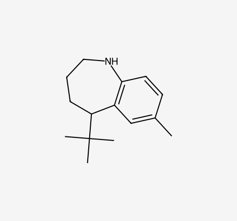 Cc1ccc2c(c1)C(C(C)(C)C)CCCN2